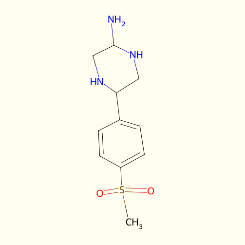 CS(=O)(=O)c1ccc(C2CNC(N)CN2)cc1